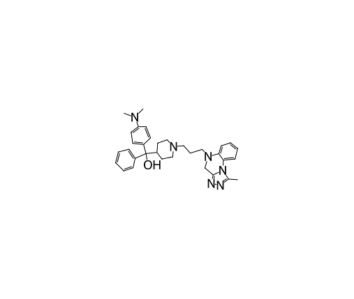 Cc1nnc2n1-c1ccccc1N(CCCN1CCC(C(O)(c3ccccc3)c3ccc(N(C)C)cc3)CC1)C2